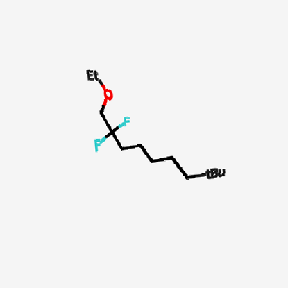 CCOCC(F)(F)CCCCCC(C)(C)C